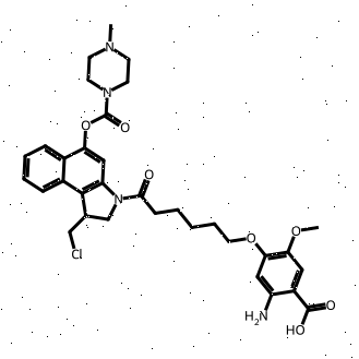 COc1cc(C(=O)O)c(N)cc1OCCCCCC(=O)N1CC(CCl)c2c1cc(OC(=O)N1CCN(C)CC1)c1ccccc21